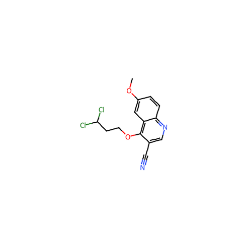 COc1ccc2ncc(C#N)c(OCCC(Cl)Cl)c2c1